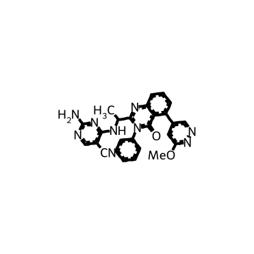 COc1cc(-c2cccc3nc(C(C)Nc4nc(N)ncc4C#N)n(-c4ccccc4)c(=O)c23)cnn1